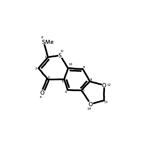 CSc1cc(=O)c2cc3c(cc2s1)OCO3